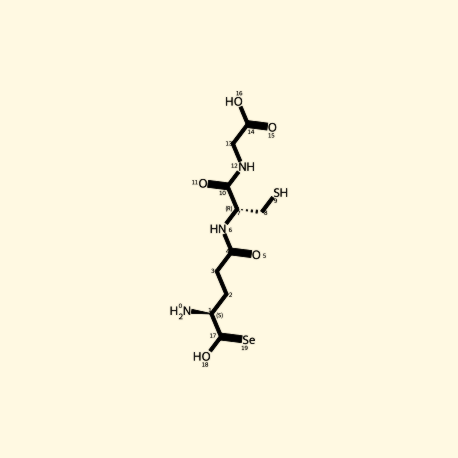 N[C@@H](CCC(=O)N[C@@H](CS)C(=O)NCC(=O)O)C(O)=[Se]